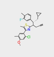 C#CCC(c1nc(-c2cc(C)c(OC)cc2Cl)c(C)s1)[C@@H](CC1CC1)c1ccc(C)c(F)c1